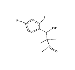 CC(=O)C(C)(C)C(O)c1ccc(F)cc1F